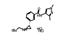 Cc1nn(C)cc1NC(=O)c1cccc([C@@H]2C[C@H]2NCC(C)(C)C)c1.Cl.Cl